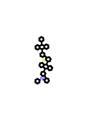 c1ccc(-c2c3ccccc3c(-c3ccc4sc5c(-c6c7ccccc7c(-c7ccc8c(c7)c7ccccc7n8-c7ccccc7)c7ccccc67)cccc5c4c3)c3ccccc23)cc1